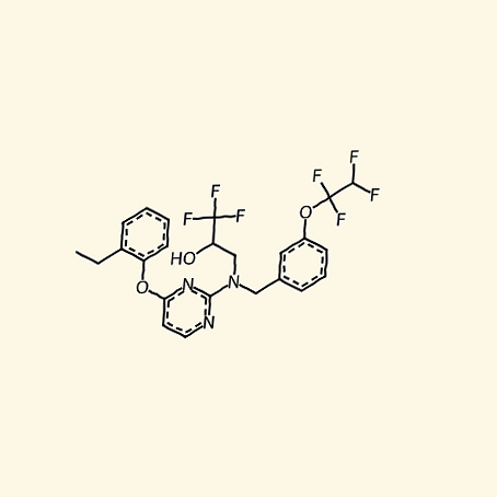 CCc1ccccc1Oc1ccnc(N(Cc2cccc(OC(F)(F)C(F)F)c2)CC(O)C(F)(F)F)n1